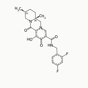 C[C@H]1CC[C@]2(C)Cn3cc(C(=O)NCc4ccc(F)cc4F)c(=O)c(O)c3C(=O)N2C1